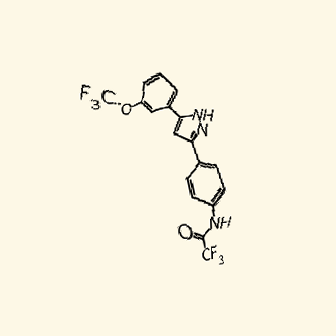 O=C(Nc1ccc(-c2cc(-c3cccc(OC(F)(F)F)c3)[nH]n2)cc1)C(F)(F)F